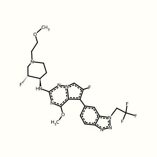 COCCN1CC[C@@H](Nc2nc(OC)c3c(-c4ccc5nnn(CC(F)(F)F)c5c4)c(F)cn3n2)[C@H](F)C1